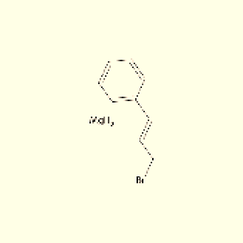 BrC/C=C/c1ccccc1.[MgH2]